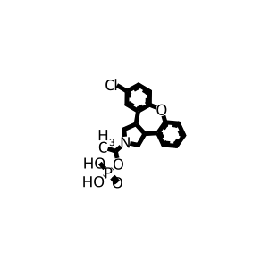 CC(OP(=O)(O)O)N1CC2c3ccccc3Oc3ccc(Cl)cc3C2C1